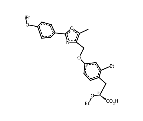 CCO[C@@H](Cc1ccc(OCc2nc(-c3ccc(OC(C)C)cc3)oc2C)cc1CC)C(=O)O